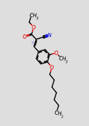 CCCCCCCOc1ccc(/C=C(\C#N)C(=O)OCC)cc1OC